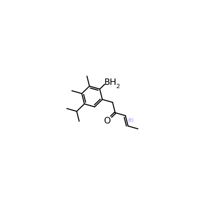 Bc1c(CC(=O)/C=C/C)cc(C(C)C)c(C)c1C